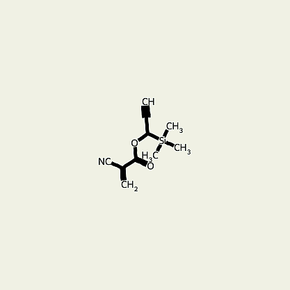 C#CC(OC(=O)C(=C)C#N)[Si](C)(C)C